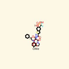 COc1ccc(CC(NC(=O)c2cc3cc(C(F)(F)P(=O)(O)O)ccc3s2)C(=O)N2CCC[C@H]2C(=O)N2CCO[C@H](c3ccccc3)C2)cc1